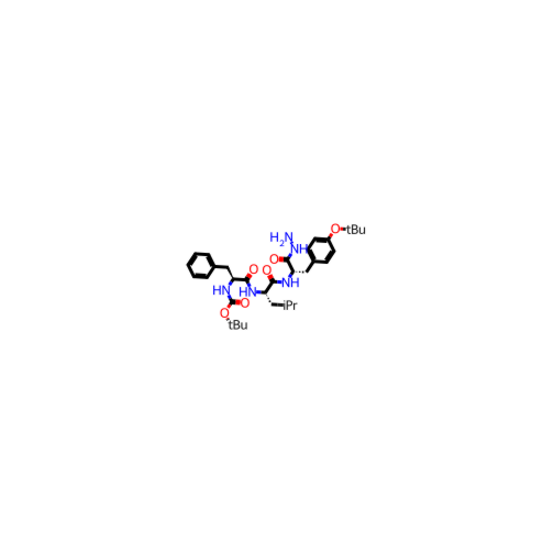 CC(C)C[C@H](NC(=O)[C@H](Cc1ccccc1)NC(=O)OC(C)(C)C)C(=O)N[C@@H](Cc1ccc(OC(C)(C)C)cc1)C(=O)NN